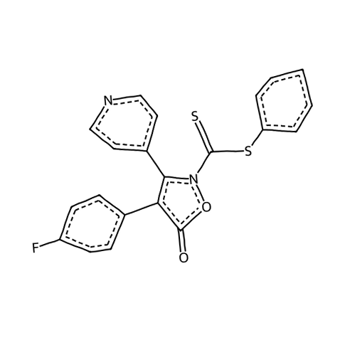 O=c1on(C(=S)Sc2ccccc2)c(-c2ccncc2)c1-c1ccc(F)cc1